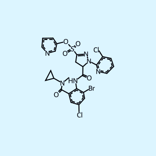 CN(C(=O)c1cc(Cl)cc(Br)c1NC(=O)C1CC(S(=O)(=O)Oc2cccnc2)=NN1c1ncccc1Cl)C1CC1